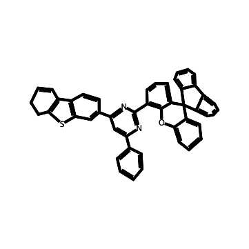 C1=Cc2c(sc3cc(-c4cc(-c5ccccc5)nc(-c5cccc6c5Oc5ccccc5C65c6ccccc6-c6ccccc65)n4)ccc23)CC1